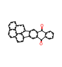 O=C1c2ccccc2C(=O)c2cc3c(cc21)-c1ccc2ccc4cccc5cc-3c1c2c45